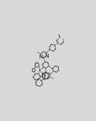 C=C/C=C(\C=C/C)c1ccc(-c2cc(C)nc(-c3cc(-c4ccccc4-c4cnc(-c5ccccc5)cc4C)c4c(c3)C3(c5ccccc5Oc5ccccc53)c3ccccc3-4)n2)cc1